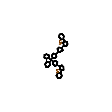 c1ccc2c(c1)-c1ccccc1C2(c1ccc(-c2ccc(-c3cccc4c3sc3ccccc34)cc2)cc1)c1ccc(-c2cccc3c2sc2ccccc23)cc1